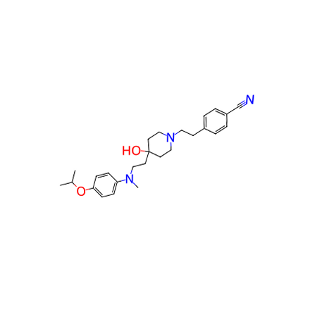 CC(C)Oc1ccc(N(C)CCC2(O)CCN(CCc3ccc(C#N)cc3)CC2)cc1